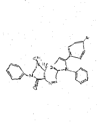 Cc1c(/N=C\C2SC=C(c3ccc(Br)cc3)N2c2ccccc2)c(=O)n(-c2ccccc2)n1C